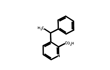 CC(c1ccccc1)c1cccnc1C(=O)O